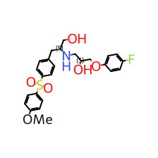 COc1ccc(S(=O)(=O)c2ccc(C[C@@H](CO)NC[C@H](O)COc3ccc(F)cc3)cc2)cc1